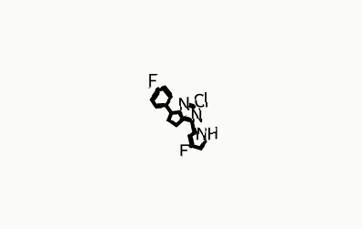 FC1=CC(c2nc(Cl)nc3c2CCC3c2ccc(F)cc2)NCC1